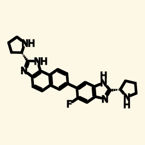 Fc1cc2nc([C@@H]3CCCN3)[nH]c2cc1-c1ccc2c(ccc3nc([C@@H]4CCCN4)[nH]c32)c1